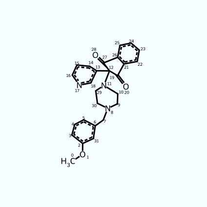 COc1cccc(CN2CCN(C3(c4cccnc4)C(=O)c4ccccc4C3=O)CC2)c1